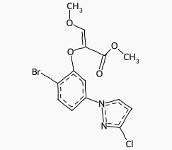 CO/C=C(\Oc1cc(-n2ccc(Cl)n2)ccc1Br)C(=O)OC